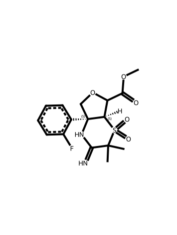 COC(=O)C1OC[C@]2(c3ccccc3F)NC(=N)C(C)(C)S(=O)(=O)[C@H]12